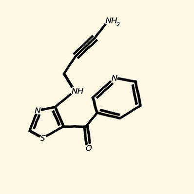 NC#CCNc1ncsc1C(=O)c1cccnc1